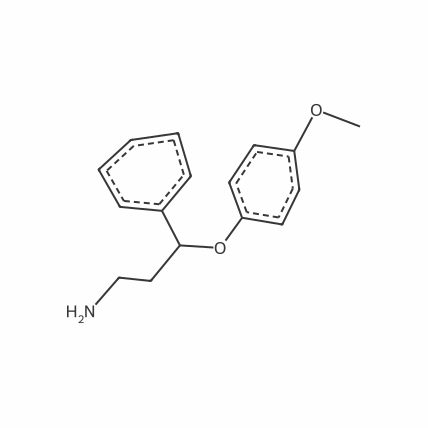 COc1ccc(OC(CCN)c2ccccc2)cc1